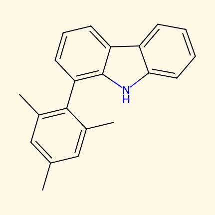 Cc1cc(C)c(-c2cccc3c2[nH]c2ccccc23)c(C)c1